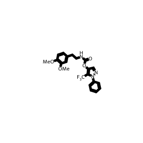 COc1ccc(CCNC(=O)Oc2cnn(-c3ccccc3)c2C(F)(F)F)cc1OC